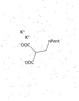 CCCCCCC(C(=O)[O-])C(=O)[O-].[K+].[K+]